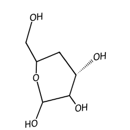 OCC1C[C@H](O)C(O)C(O)O1